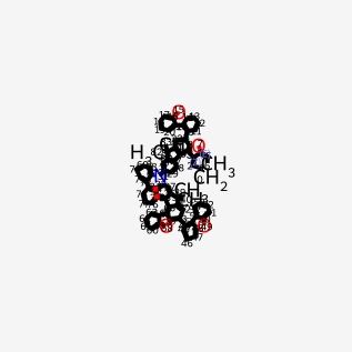 C=C/C=c1\c(=C/C)oc2c(-c3cccc4oc5ccccc5c34)cc3c(c12)-c1ccc(N(c2ccc4c(c2)C(C)(C)c2cc(-c5cccc6oc7ccccc7c56)c5oc6ccccc6c5c2-4)c2ccccc2-c2ccccc2)cc1C3(C)C